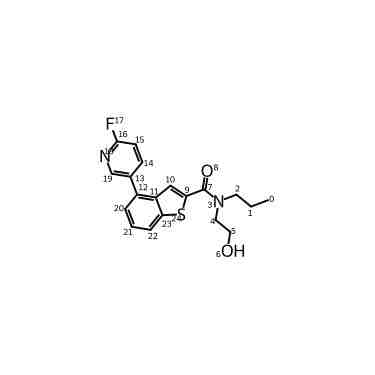 CCCN(CCO)C(=O)c1cc2c(-c3ccc(F)nc3)cccc2s1